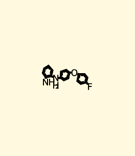 Nc1ccccc1Nc1ccc(Oc2ccc(F)cc2)cc1